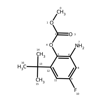 COC(=O)Oc1c(N)cc(F)cc1C(C)(C)C